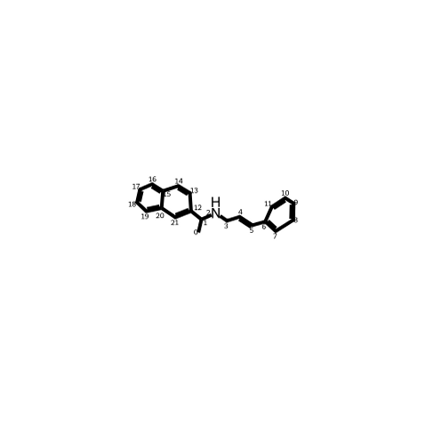 CC(NCC=Cc1ccccc1)c1ccc2ccccc2c1